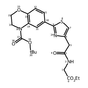 CCOC(=O)CNC(=O)Cc1csc(-c2ccc3c(c2)N(C(=O)OC(C)(C)C)CCO3)n1